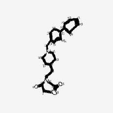 O=C1COC(=O)N1CCC1CCN(Cc2ccc(-c3ccccc3)cc2)CC1